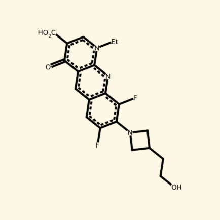 CCn1cc(C(=O)O)c(=O)c2cc3cc(F)c(N4CC(CCO)C4)c(F)c3nc21